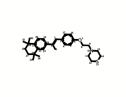 C/C(=C\c1ccc(OCCN2CCSCC2)cc1)c1ccc2c(c1)C(C)(C)CCC2(C)C